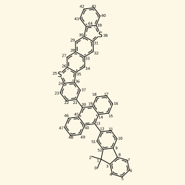 CC1(C)c2ccccc2-c2ccc(-c3c4ccccc4c(-c4ccc5sc6cc7cc8c(cc7cc6c5c4)sc4ccccc48)c4ccccc34)cc21